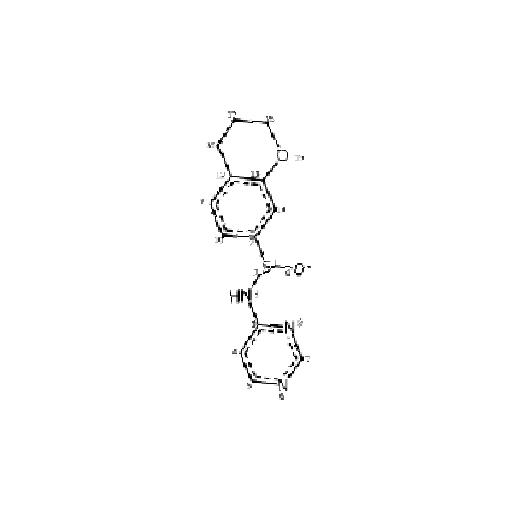 [O-][S+](Nc1ccncn1)c1ccc2c(c1)OCCC2